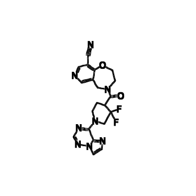 N#Cc1cncc2c1OCCN(C(=O)C1CCN(c3ncnn4ccnc34)CC1(F)F)C2